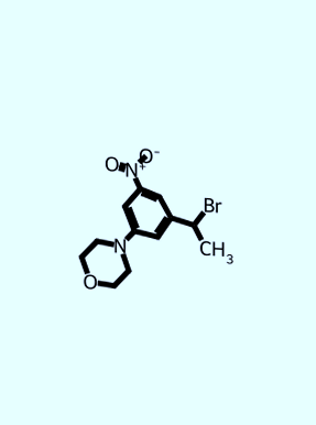 CC(Br)c1cc(N2CCOCC2)cc([N+](=O)[O-])c1